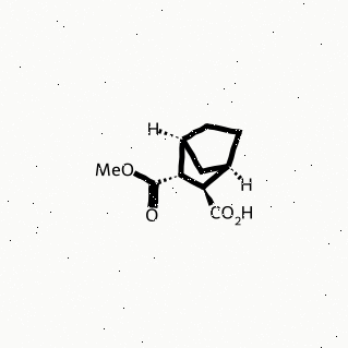 COC(=O)[C@@H]1[C@H]2CC[C@H](C2)[C@H]1C(=O)O